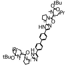 CC(C)C[C@@H](C(=O)N1CCC[C@H]1c1ncc(-c2ccc(-c3ccc(-c4cnc([C@@H]5CCCN5C(=O)[C@H](CC(C)C)N(C)C(=O)OC(C)(C)C)[nH]4)cc3)cc2)[nH]1)N(C)C(=O)OC(C)(C)C